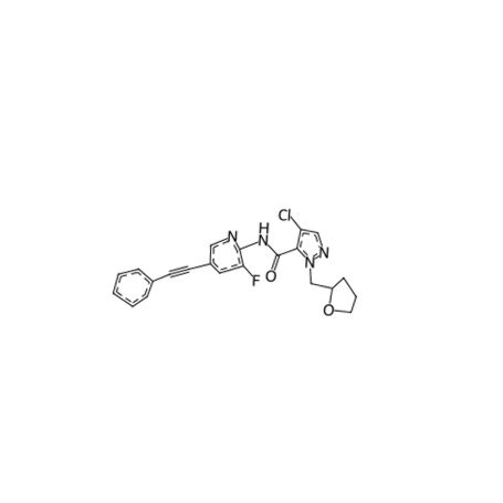 O=C(Nc1ncc(C#Cc2ccccc2)cc1F)c1c(Cl)cnn1CC1CCCO1